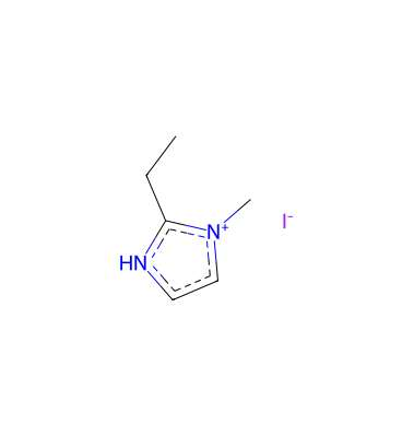 CCc1[nH]cc[n+]1C.[I-]